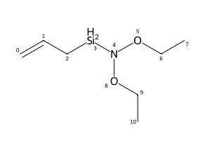 C=CC[SiH2]N(OCC)OCC